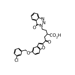 O=C(CC(CCn1nnc2ccccc2c1=O)C(=O)O)c1cc2cc(OCc3cccc(Cl)c3)ccc2o1